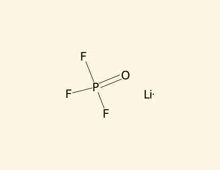 O=P(F)(F)F.[Li]